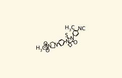 [C-]#[N+]c1ccc(N2C(=O)C3(CCC3)N(c3ccc(N4CCN(S(C)(=O)=O)CC4)cc3)C2=S)cc1C